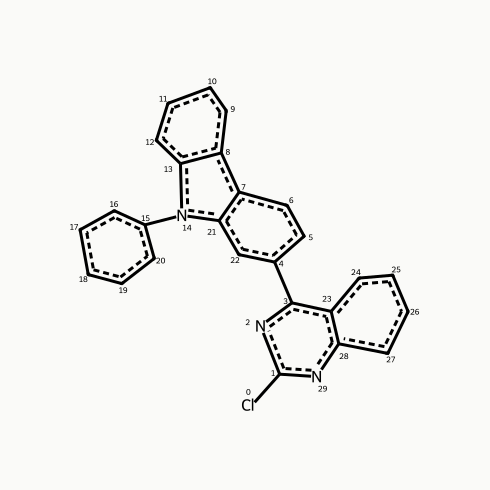 Clc1nc(-c2ccc3c4ccccc4n(-c4ccccc4)c3c2)c2ccccc2n1